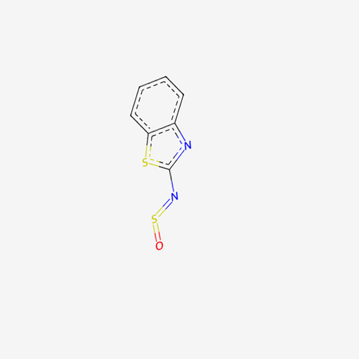 O=S=Nc1nc2ccccc2s1